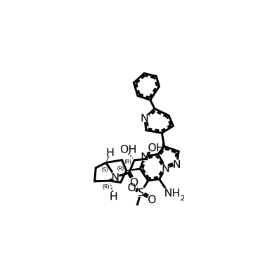 CS(=O)(=O)c1c([C@H]2C[C@H]3CC[C@@H](C2)N3C(=O)[C@H](O)CO)nc2c(-c3ccc(-c4ccccc4)nc3)cnn2c1N